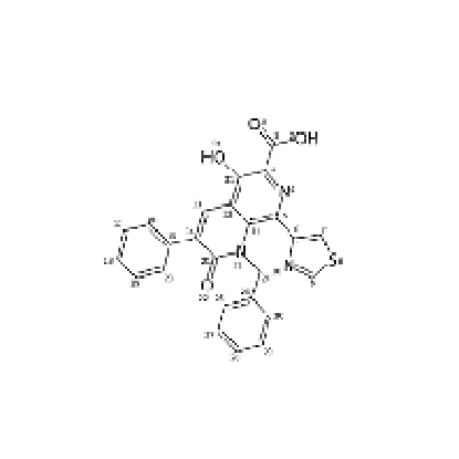 O=C(O)c1nc(-c2cscn2)c2c(cc(-c3ccccc3)c(=O)n2Cc2ccccc2)c1O